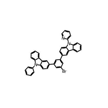 Brc1cc(-c2ccc3c(c2)c2ccccc2n3-c2ccccc2)cc(-c2ccc3c(c2)c2ccccc2n3-c2ccccn2)c1